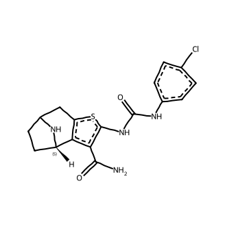 NC(=O)c1c(NC(=O)Nc2ccc(Cl)cc2)sc2c1[C@@H]1CCC(C2)N1